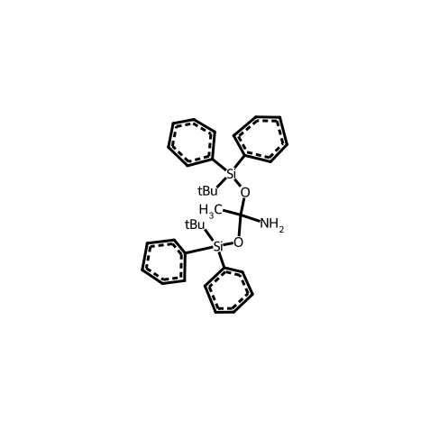 CC(N)(O[Si](c1ccccc1)(c1ccccc1)C(C)(C)C)O[Si](c1ccccc1)(c1ccccc1)C(C)(C)C